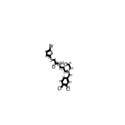 O=C(CSc1ccc(Br)s1)NCC1CN(Cc2ccc(Cl)c(Cl)c2)CCO1